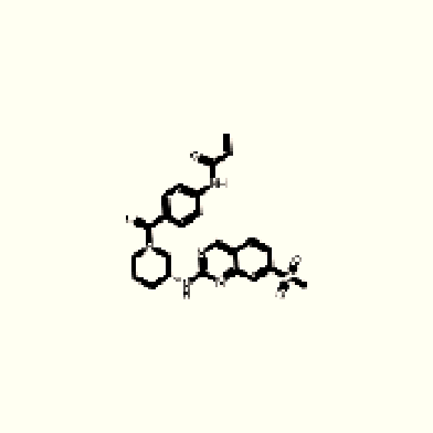 C=CC(=O)Nc1ccc(C(=O)N2CCC[C@@H](Nc3ncc4ccc(S(C)(=O)=O)cc4n3)C2)cc1